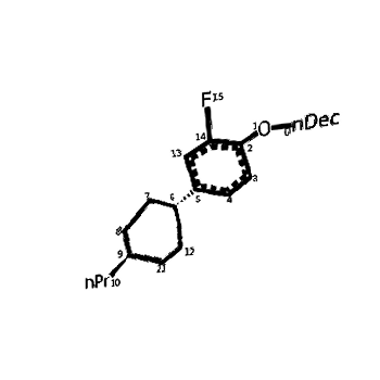 CCCCCCCCCCOc1ccc([C@H]2CC[C@H](CCC)CC2)cc1F